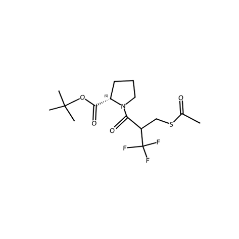 CC(=O)SCC(C(=O)N1CCC[C@H]1C(=O)OC(C)(C)C)C(F)(F)F